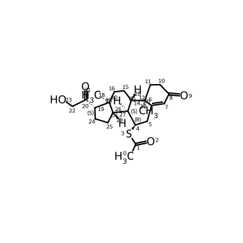 CC(=O)S[C@@H]1CC2=CC(=O)CC[C@]2(C)[C@H]2CC[C@]3(C)[C@@H](C(=O)CO)CC[C@H]3[C@H]12